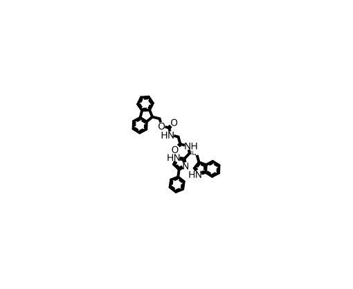 O=C(CNC(=O)OCC1c2ccccc2-c2ccccc21)N[C@H](Cc1c[nH]c2ccccc12)c1nc(-c2ccccc2)c[nH]1